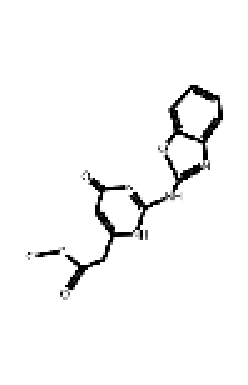 O=C(Cc1cc(=O)nc(Nc2nc3ccccc3o2)[nH]1)OCl